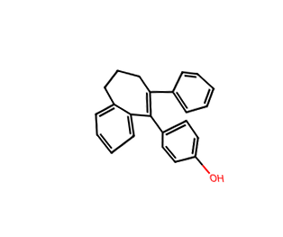 Oc1ccc(C2=C(c3ccccc3)CCCc3ccccc32)cc1